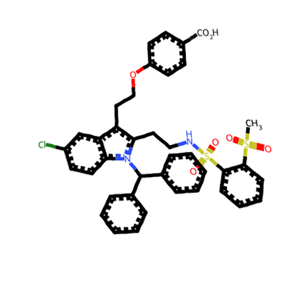 CS(=O)(=O)c1ccccc1S(=O)(=O)NCCc1c(CCOc2ccc(C(=O)O)cc2)c2cc(Cl)ccc2n1C(c1ccccc1)c1ccccc1